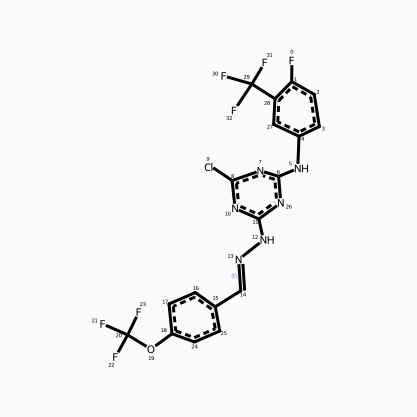 Fc1ccc(Nc2nc(Cl)nc(N/N=C/c3ccc(OC(F)(F)F)cc3)n2)cc1C(F)(F)F